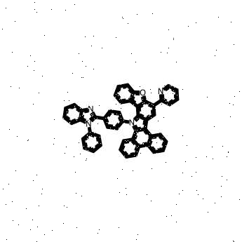 c1ccc(-n2c(-c3ccc(-n4c5c(cc(-c6ccccn6)c6oc7ccccc7c65)c5c6ccccc6c6ccccc6c54)cc3)nc3ccccc32)cc1